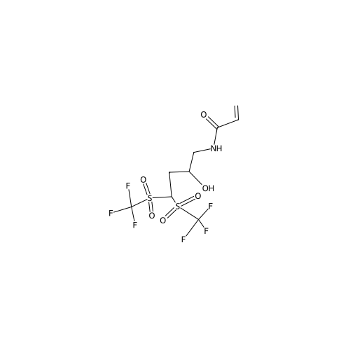 C=CC(=O)NCC(O)CC(S(=O)(=O)C(F)(F)F)S(=O)(=O)C(F)(F)F